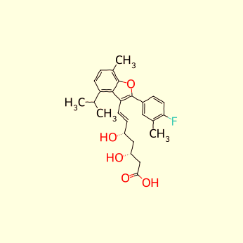 Cc1cc(-c2oc3c(C)ccc(C(C)C)c3c2/C=C/[C@@H](O)C[C@@H](O)CC(=O)O)ccc1F